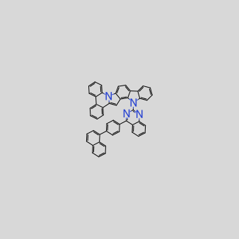 c1ccc2c(-c3ccc(-c4nc(-n5c6ccccc6c6ccc7c(cc8c9ccccc9c9ccccc9n87)c65)nc5ccccc45)cc3)cccc2c1